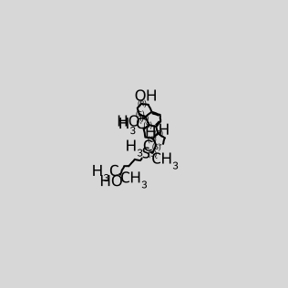 C[C@H](SCCCCC(C)(C)O)[C@H]1CC[C@H]2C3=CC=C4C[C@@H](O)C[C@H](O)[C@]4(C)[C@H]3CC[C@]12C